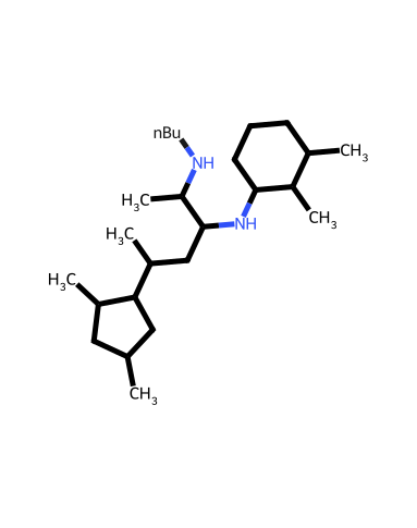 CCCCNC(C)C(CC(C)C1CC(C)CC1C)NC1CCCC(C)C1C